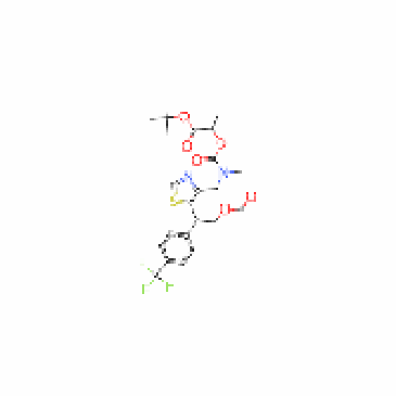 CC(OC(=O)N(C)Cc1ncsc1C(COC=O)c1ccc(C(F)(F)F)cc1)C(=O)OC(C)(C)C